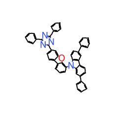 c1ccc(-c2ccc3c(c2)c2ccc(-c4ccccc4)cc2n3-c2cccc3c2oc2cc(-c4nc(-c5ccccc5)nc(-c5ccccc5)n4)ccc23)cc1